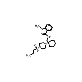 CCCS(=O)(=O)N1CCN(C2(CNC(=O)c3ccccc3OC)CCCCC2)CC1